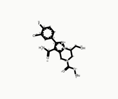 CC(C)(C)OC(=O)N1Cc2c(C(N)=O)c(-c3ccc(F)c(Cl)c3)nn2C(CO)C1